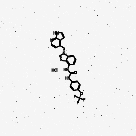 Cl.O=C(Nc1ccc(OC(F)(F)F)cc1)Nc1cccc2c1ccn2Cc1ccnc2[nH]ccc12